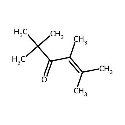 CC(C)=C(C)C(=O)C(C)(C)C